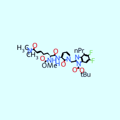 CCCc1c(F)c(F)cc2c1nc(Cn1cccc(NC(=O)[C@H](CC/C=C/C(=O)N(C)C)NC(=O)OC)c1=O)n2C(=O)OC(C)(C)C